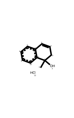 CC1(O)CC=Cc2ccccc21.Cl